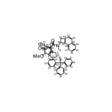 COc1ccc(C(=O)N(C[C@@H]2[C@H](SC(c3ccccc3)(c3ccccc3)c3ccccc3)CCN2C(=O)OC(C)(C)C)C2Cc3ccc4ccccc4c32)c[n+]1[O-]